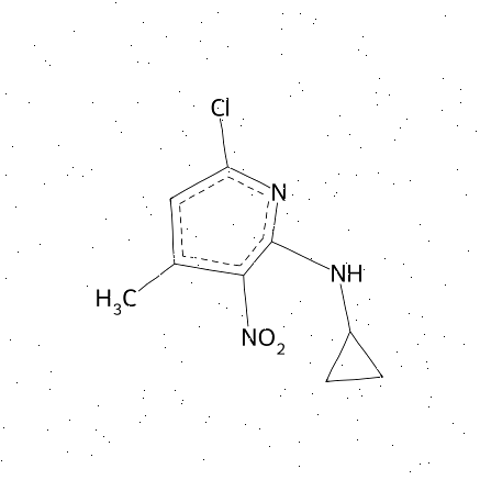 Cc1cc(Cl)nc(NC2CC2)c1[N+](=O)[O-]